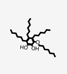 CCCCCCCOc1c(O)c(O)c(CCCCCC)c(CCCCCC)c1CCCCCC